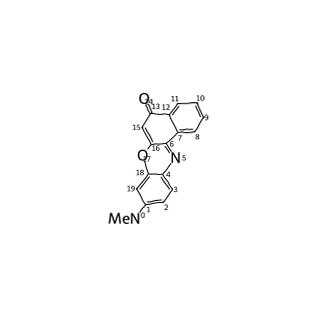 CNc1ccc2nc3c4ccccc4c(=O)cc-3oc2c1